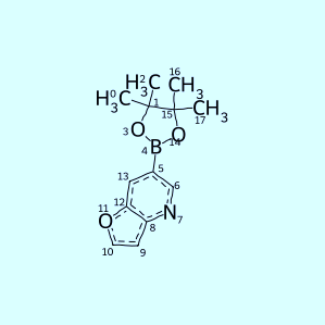 CC1(C)OB(c2cnc3ccoc3c2)OC1(C)C